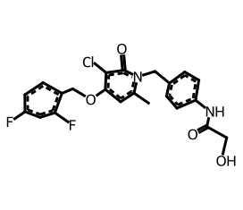 Cc1cc(OCc2ccc(F)cc2F)c(Cl)c(=O)n1Cc1ccc(NC(=O)CO)cc1